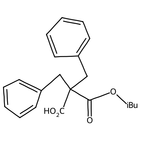 CCC(C)OC(=O)C(Cc1ccccc1)(Cc1ccccc1)C(=O)O